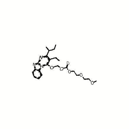 CCc1c(C(C)CC)nc2nc3ccccc3n2c1OCOC(=O)OCCOCCOC